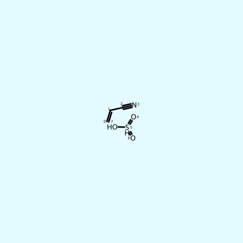 C=CC#N.O=[SH](=O)O